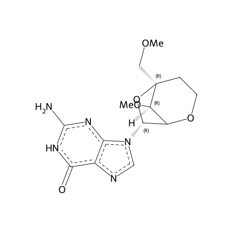 COC[C@@]12CCOC([C@H](n3cnc4c(=O)[nH]c(N)nc43)O1)[C@H]2OC